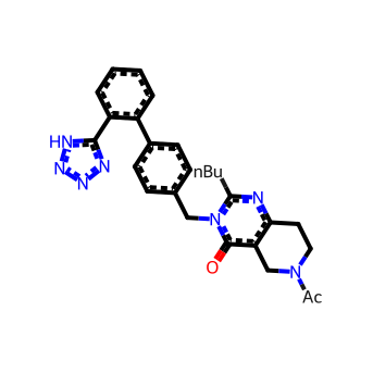 CCCCc1nc2c(c(=O)n1Cc1ccc(-c3ccccc3-c3nnn[nH]3)cc1)CN(C(C)=O)CC2